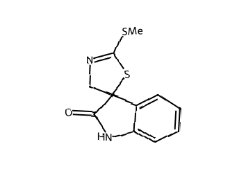 CSC1=NCC2(S1)C(=O)Nc1ccccc12